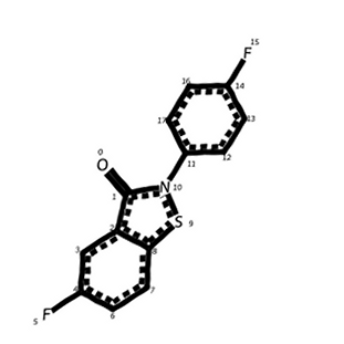 O=c1c2cc(F)ccc2sn1-c1ccc(F)cc1